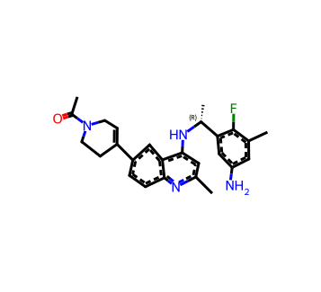 CC(=O)N1CC=C(c2ccc3nc(C)cc(N[C@H](C)c4cc(N)cc(C)c4F)c3c2)CC1